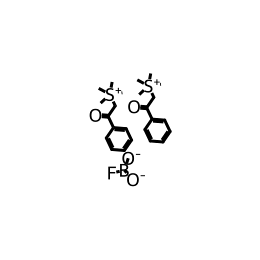 C[S+](C)(C)(C)CC(=O)c1ccccc1.C[S+](C)(C)(C)CC(=O)c1ccccc1.[O-]B([O-])F